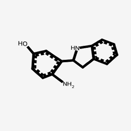 Nc1ccc(O)cc1C1Cc2ccccc2N1